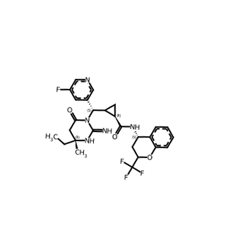 CC[C@]1(C)CC(=O)N([C@H](c2cncc(F)c2)C2C[C@H]2C(=O)N[C@H]2CC(C(F)(F)F)Oc3ccccc32)C(=N)N1